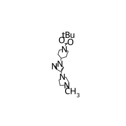 CN1CCN(c2cnn(C3CCN(C(=O)OC(C)(C)C)CC3)c2)CC1